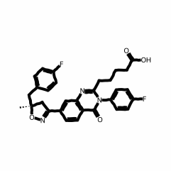 C[C@]1(Cc2ccc(F)cc2)CC(c2ccc3c(=O)n(-c4ccc(F)cc4)c(CCCCC(=O)O)nc3c2)=NO1